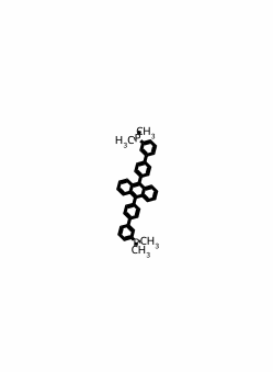 CP(C)c1cccc(-c2ccc(-c3c4ccccc4c(-c4ccc(-c5cccc(P(C)C)c5)cc4)c4ccccc34)cc2)c1